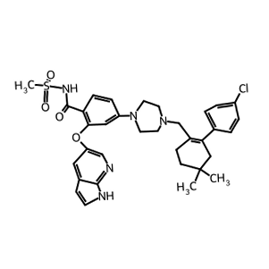 CC1(C)CCC(CN2CCN(c3ccc(C(=O)NS(C)(=O)=O)c(Oc4cnc5[nH]ccc5c4)c3)CC2)=C(c2ccc(Cl)cc2)C1